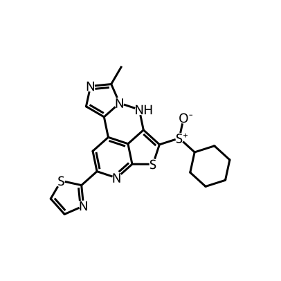 Cc1ncc2c3cc(-c4nccs4)nc4sc([S+]([O-])C5CCCCC5)c([nH]n12)c43